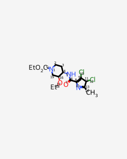 CCOC(=O)N1CC[C@@H](NC(=O)C2=C(Cl)C(Cl)C(C)=N2)[C@@H](OCC)C1